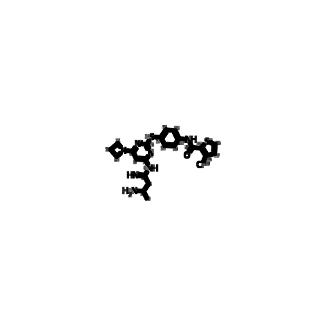 CC(N)CC(=N)Nc1cc(N2CCC2)nc(Sc2ccc(NC(=O)c3sccc3Cl)cc2)n1